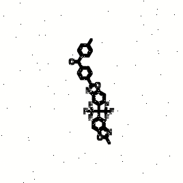 Cc1ccc(C(=O)c2ccc(-c3nc4cc(C(c5ccc6oc(C)nc6c5)(C(F)(F)F)C(F)(F)F)ccc4o3)cc2)cc1